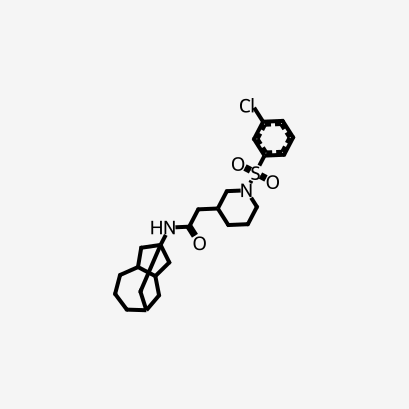 O=C(CC1CCCN(S(=O)(=O)c2cccc(Cl)c2)C1)NC12CC3CCCC(C1)C(C3)C2